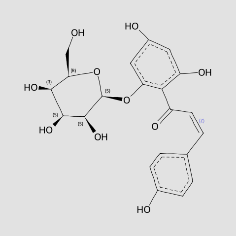 O=C(/C=C\c1ccc(O)cc1)c1c(O)cc(O)cc1O[C@@H]1O[C@H](CO)[C@H](O)[C@H](O)[C@@H]1O